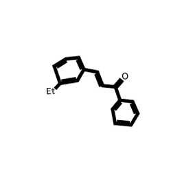 CCc1cccc(C=CC(=O)c2ccccc2)c1